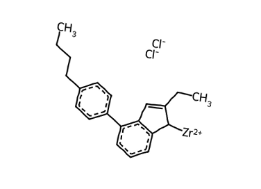 CCCCc1ccc(-c2cccc3c2C=C(CC)[CH]3[Zr+2])cc1.[Cl-].[Cl-]